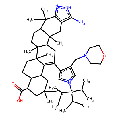 CC(C)[Si](C(C)C)(C(C)C)n1cc(CN2CCOCC2)c(C2=C3C4CC(C)(C)C[C@@H](C(=O)O)C4CCC3(C)C3(C)CCC4C(C)(C)c5n[nH]c(N)c5CC4(C)C3C2)c1